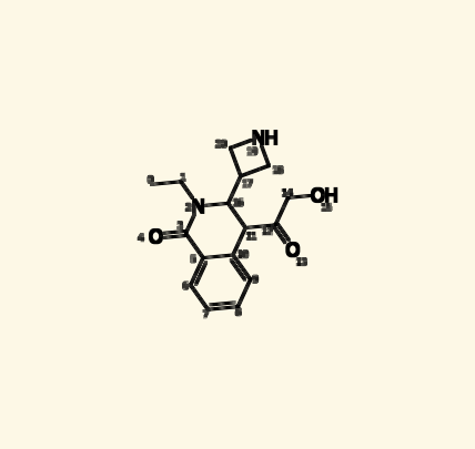 CCN1C(=O)c2ccccc2C(C(=O)CO)C1C1CNC1